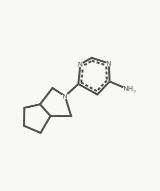 Nc1cc(N2CC3CCCC3C2)ncn1